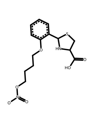 O=C(O)C1CSC(c2ccccc2OCCCCO[N+](=O)[O-])N1